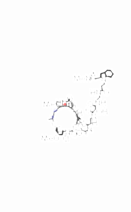 CNN(C)Cc1cc2ccccc2n1CCC(=O)NCCNC(=O)C(O)C(=O)NCCC(=O)N(C)[C@@H](C)C(=O)O[C@H]1CC(=O)N(C)c2cc(cc(OC)c2Cl)C/C(C)=C/C=C/[C@@H](OC)[C@@]2(O)C[C@H](OC(=O)N2)[C@@H](C)[C@@H]2C[C@]12C